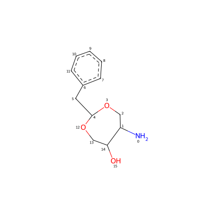 NC1COC(Cc2ccccc2)OCC1O